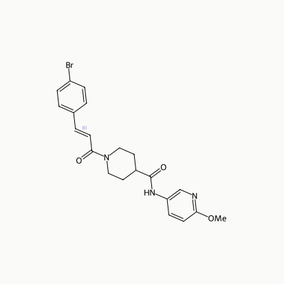 COc1ccc(NC(=O)C2CCN(C(=O)/C=C/c3ccc(Br)cc3)CC2)cn1